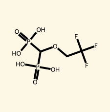 O=P(O)(O)C(OCC(F)(F)F)P(=O)(O)O